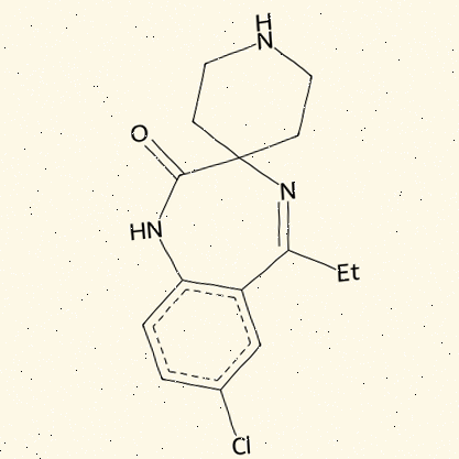 CCC1=NC2(CCNCC2)C(=O)Nc2ccc(Cl)cc21